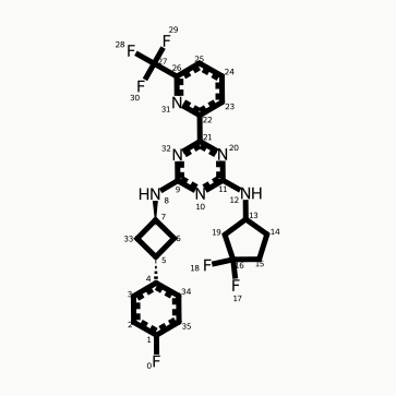 Fc1ccc([C@H]2C[C@H](Nc3nc(NC4CCC(F)(F)C4)nc(-c4cccc(C(F)(F)F)n4)n3)C2)cc1